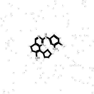 Cc1cc(Nc2ncc3c(n2)C(C2CCCC2)=C(O)CC3)ccc1F